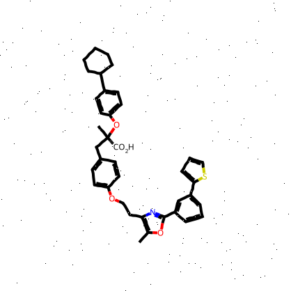 Cc1oc(-c2cccc(-c3cccs3)c2)nc1CCOc1ccc(CC(C)(Oc2ccc(C3CCCCC3)cc2)C(=O)O)cc1